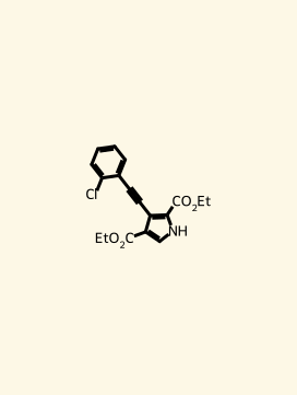 CCOC(=O)c1c[nH]c(C(=O)OCC)c1C#Cc1ccccc1Cl